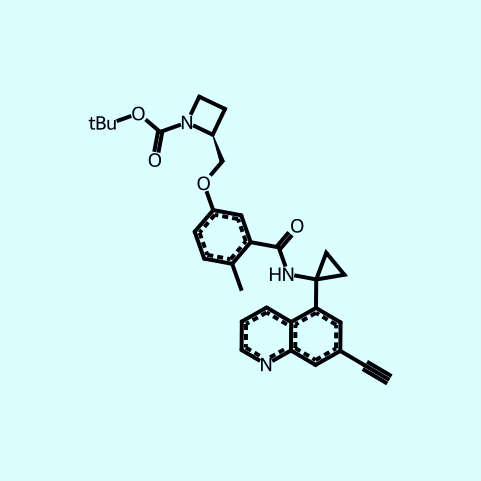 C#Cc1cc(C2(NC(=O)c3cc(OC[C@@H]4CCN4C(=O)OC(C)(C)C)ccc3C)CC2)c2cccnc2c1